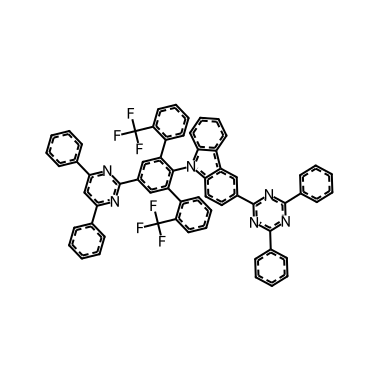 FC(F)(F)c1ccccc1-c1cc(-c2nc(-c3ccccc3)cc(-c3ccccc3)n2)cc(-c2ccccc2C(F)(F)F)c1-n1c2ccccc2c2cc(-c3nc(-c4ccccc4)nc(-c4ccccc4)n3)ccc21